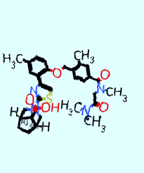 Cc1ccc(OCc2ccc(C(=O)N(C)CC(=O)N(C)C)cc2C)c(-c2csc(N3C[C@@H]4CC[C@@H](C3)C4C(=O)O)n2)c1